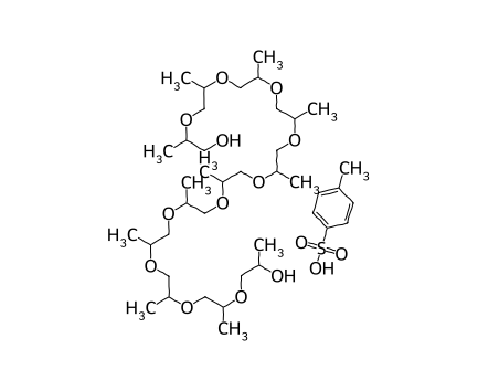 CC(O)COC(C)COC(C)COC(C)COC(C)COC(C)COC(C)COC(C)COC(C)COC(C)COC(C)CO.Cc1ccc(S(=O)(=O)O)cc1